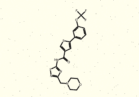 O=C(Nc1nc(CN2CCOCC2)ns1)c1csc(-c2cccc(OC(F)(F)F)c2)c1